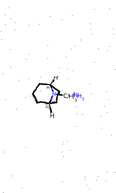 CN1[C@@H]2CCC[C@H]1CC2.N